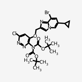 CC(C)(C)OC(=O)N(C(=O)OC(C)(C)C)c1nnc(Cl)cc1OCc1cn2cc(C3CC3)cc(Br)c2n1